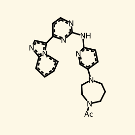 CC(=O)N1CCCN(c2ccc(Nc3nccc(-c4cnc5ccccn45)n3)nc2)CC1